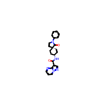 O=C(N[C@H]1CC[C@@]2(CCN(c3ccccc3)C2=O)CC1)c1cnn2cccnc12